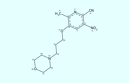 Cc1nc(C#N)c([N+](=O)[O-])cc1OCCCN1CCOCC1